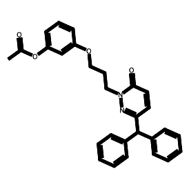 CC(=O)Oc1cccc(OCCCn2nc(C(c3ccccc3)c3ccccc3)ccc2=O)c1